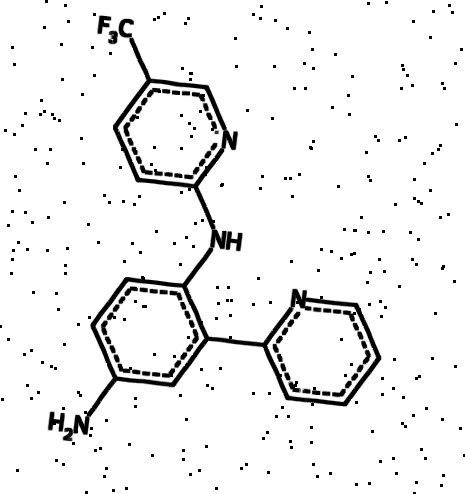 Nc1ccc(Nc2ccc(C(F)(F)F)cn2)c(-c2ccccn2)c1